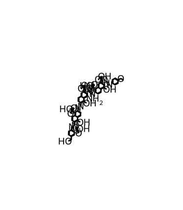 COc1ccc(N=Nc2c(S(=O)(=O)O)cc3c(S(=O)(=O)O)c(N=Nc4c(S(=O)(=O)O)cc5ccc(N=Nc6ccc7c(O)c(N=Nc8ccc(CO)cc8S(=O)(=O)O)ccc7c6S(=O)(=O)O)c(O)c5c4N)ccc3c2O)cc1